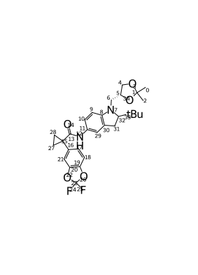 CC1(C)OC[C@@H](CN2c3ccc(NC(=O)C4(c5ccc6c(c5)OC(F)(F)O6)CC4)cc3CC2C(C)(C)C)O1